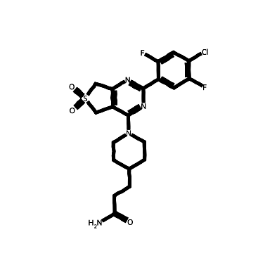 NC(=O)CCC1CCN(c2nc(-c3cc(F)c(Cl)cc3F)nc3c2CS(=O)(=O)C3)CC1